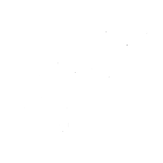 Cc1ccc(-c2ccc(Cl)cc2)cc1C